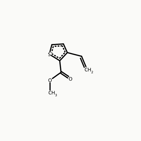 C=Cc1ccsc1C(=O)OC